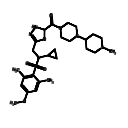 COc1cc(C)c(S(=O)(=O)N(CC2=NNC(C(=O)N3CCN(C4CCN(C)CC4)CC3)O2)C2CC2)c(C)c1